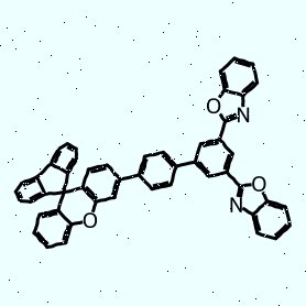 c1ccc2c(c1)Oc1cc(-c3ccc(-c4cc(-c5nc6ccccc6o5)cc(-c5nc6ccccc6o5)c4)cc3)ccc1C21c2ccccc2-c2ccccc21